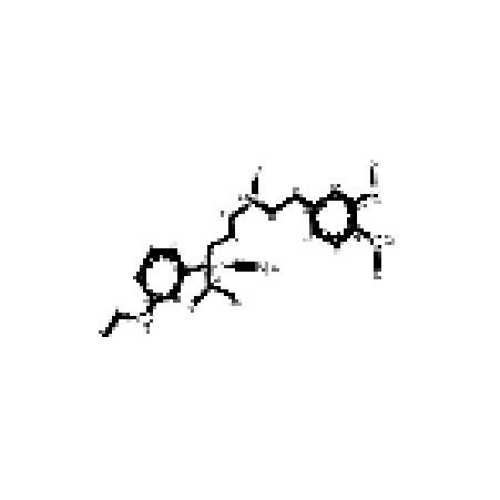 CCOc1cccc([C@](C#N)(CCCN(C)CCc2ccc(OC)c(OC)c2)C(C)C)c1